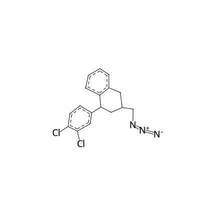 [N-]=[N+]=NCC1Cc2ccccc2C(c2ccc(Cl)c(Cl)c2)C1